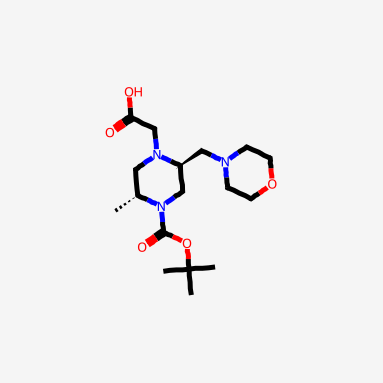 C[C@@H]1CN(CC(=O)O)[C@@H](CN2CCOCC2)CN1C(=O)OC(C)(C)C